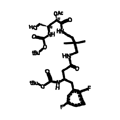 CC(=O)O[C@H](C(=O)NCC(C)(C)CNC(=O)CC(Cc1cc(F)ccc1F)NC(=O)OC(C)(C)C)[C@@H](CO)NC(=O)OC(C)(C)C